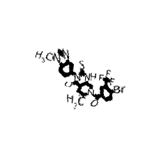 C[C@@H]1Cc2c([nH]c(=S)n(-c3ccc4c(c3)ncn4C)c2=O)CN1C(=O)c1ccc(Br)c(C(F)(F)F)c1